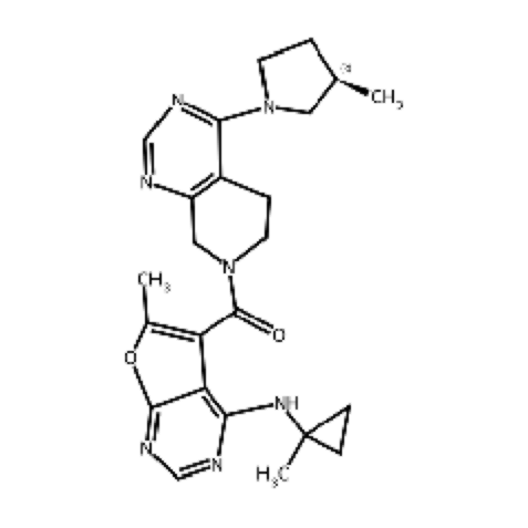 Cc1oc2ncnc(NC3(C)CC3)c2c1C(=O)N1CCc2c(ncnc2N2CC[C@@H](C)C2)C1